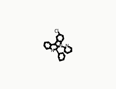 Clc1ccc2c(c1)c1c3ccccc3nc(-c3ccccc3)c1n2-c1ccccn1